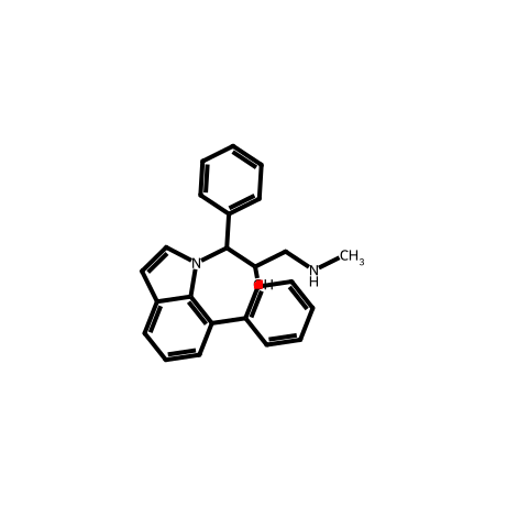 CNCC(O)C(c1ccccc1)n1ccc2cccc(-c3ccccc3)c21